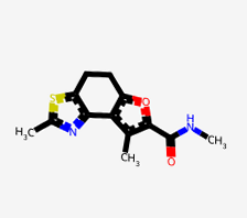 CNC(=O)c1oc2c(c1C)-c1nc(C)sc1CC2